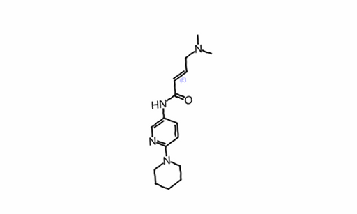 CN(C)C/C=C/C(=O)Nc1ccc(N2CCCCC2)nc1